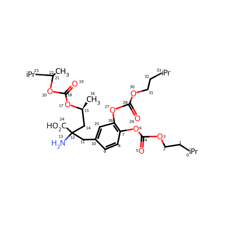 CC(C)CCOC(=O)Oc1ccc(CC(N)(C[C@H](C)OC(=O)OC(C)C(C)C)C(=O)O)cc1OC(=O)OCCC(C)C